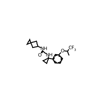 CC(Oc1cccc(C2(NC(=O)NC3CC4(CC4)C3)CC2)c1)C(F)(F)F